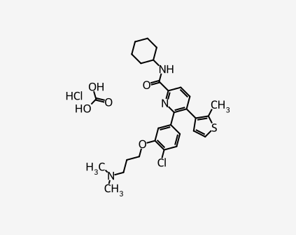 Cc1sccc1-c1ccc(C(=O)NC2CCCCC2)nc1-c1ccc(Cl)c(OCCCN(C)C)c1.Cl.O=C(O)O